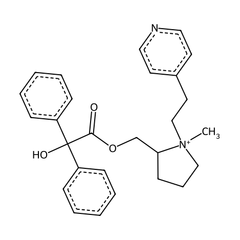 C[N+]1(CCc2ccncc2)CCCC1COC(=O)C(O)(c1ccccc1)c1ccccc1